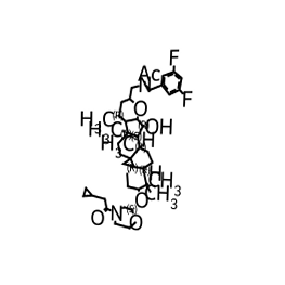 CC(=O)N(Cc1cc(F)cc(F)c1)CC1C[C@@H](C)C2C(O1)[C@H](O)[C@@]1(C)[C@@H]3CC[C@H]4C(C)(C)C(O[C@H]5CN(C(=O)CC6CC6)CCO5)CC[C@@]45CC35CC[C@]21C